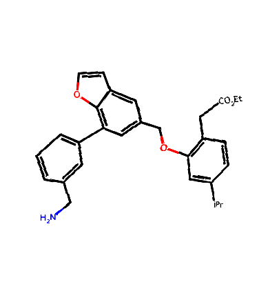 CCOC(=O)Cc1ccc(C(C)C)cc1OCc1cc(-c2cccc(CN)c2)c2occc2c1